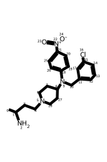 CC(N)CCN1CCC(N(Cc2cccc(Cl)c2)c2ccc([N+](=O)[O-])cc2)CC1